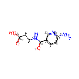 Nc1ccc(C(=O)NCCC(=O)O)cn1